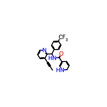 CC#Cc1cccnc1C(NC(=O)C1=CNCC=C1)c1ccc(C(F)(F)F)cc1